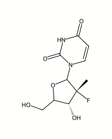 C[C@]1(F)C(n2ccc(=O)[nH]c2=O)OC(CO)[C@H]1O